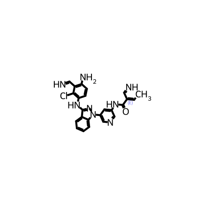 C/C=C(\C=N)C(=O)Nc1cncc(-n2nc(Nc3ccc(N)c(C=N)c3Cl)c3ccccc32)c1